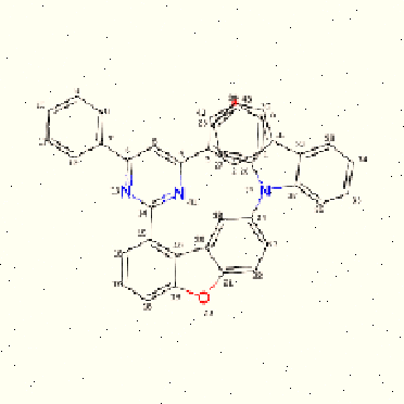 c1ccc(-c2cc(-c3ccccc3)nc(-c3cccc4oc5ccc(-n6c7ccccc7c7ccccc76)cc5c34)n2)cc1